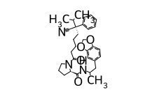 CC(Cc1ccc2c(c1)OCO2)NC(=O)[C@H]1CCCN1C(=O)CCCC[C@@](C#N)(c1ccccc1)C(C)C